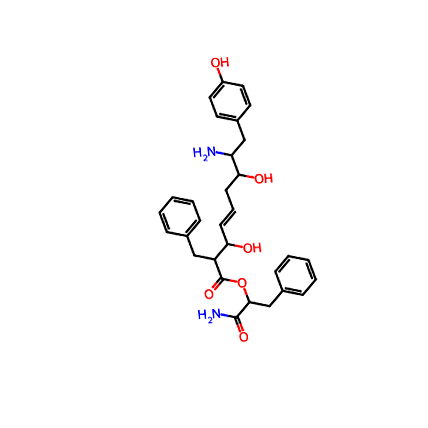 NC(=O)C(Cc1ccccc1)OC(=O)C(Cc1ccccc1)C(O)C=CCC(O)C(N)Cc1ccc(O)cc1